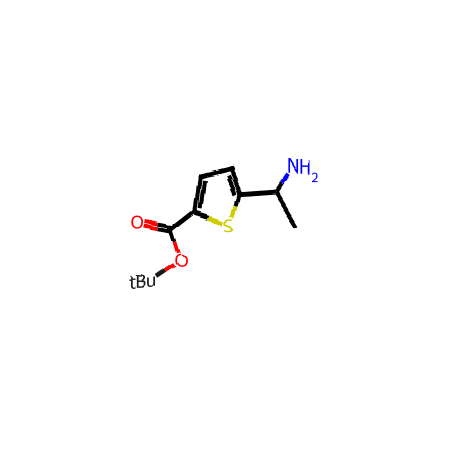 CC(N)c1ccc(C(=O)OC(C)(C)C)s1